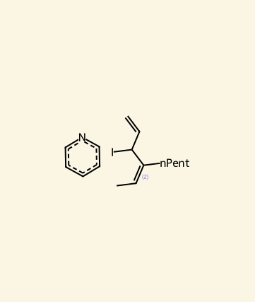 C=CC(I)/C(=C\C)CCCCC.c1ccncc1